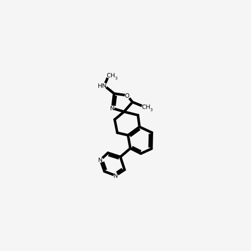 CNC1=NC2(CCc3c(cccc3-c3cncnc3)C2)C(C)O1